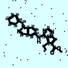 CCc1c(C(=O)OC)cn2ncnc(Nc3ccc4c(cnn4Cc4ccccc4)c3)c12